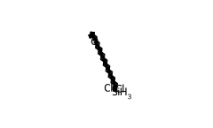 C=C(C)COCCCCCCCCCCCCCCCC([SiH3])(Cl)Cl